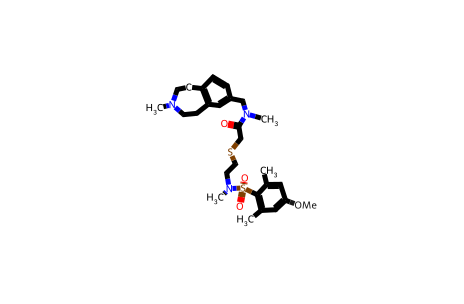 COc1cc(C)c(S(=O)(=O)N(C)CCSCC(=O)N(C)Cc2ccc3c(c2)CCN(C)CC3)c(C)c1